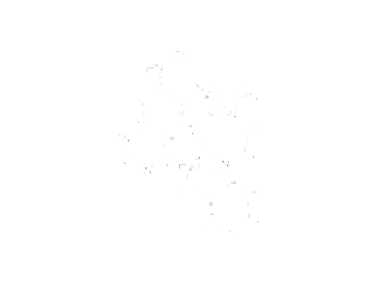 CCNc1cc2ncnc(NCc3ccccc3N3CCCN(C)CC3)c2cc1[N+](=O)[O-]